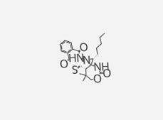 CCCCC[C@H]1N(NC(=O)c2ccccc2C=O)[C@]12NC(=O)OCC(C)(C)[C@@H]2C=S